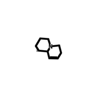 [C]1CCCN2CCC=CC12